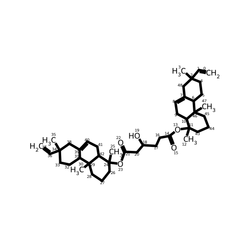 C=CC1(C)CCC2C(=CCC3C(C)(OC(=O)CCC(O)CC(=O)OC4(C)CCCC5(C)C6CCC(C)(C=C)CC6=CCC45)CCCC23C)C1